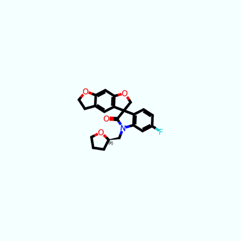 O=C1N(C[C@H]2CCCO2)c2cc(F)ccc2C12COc1cc3c(cc12)CCO3